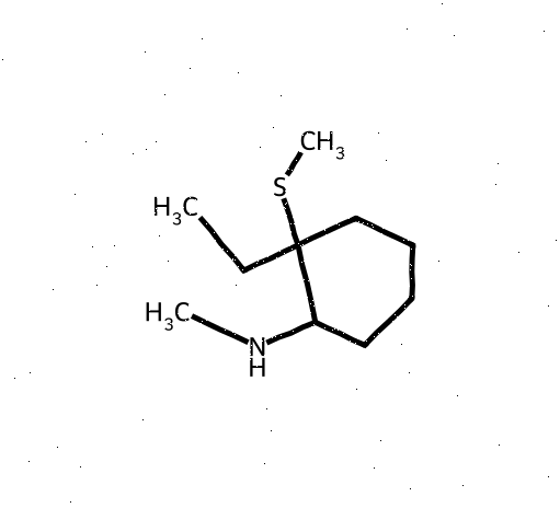 CCC1(SC)CCCCC1NC